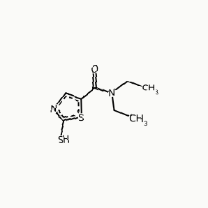 CCN(CC)C(=O)c1cnc(S)s1